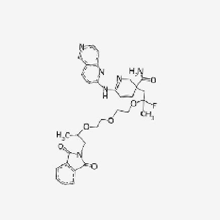 CC(CN1C(=O)c2ccccc2C1=O)OCCOCCOC(C)(F)CC1(C(N)=O)C=CC(Nc2ccc3cnccc3n2)=NC1